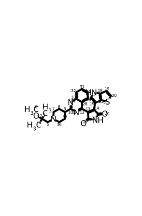 COC(C)(C)CN1CCC(c2nc(C3=C(c4c[nH]c5ccsc45)C(=O)NC3=O)c3ccccc3n2)CC1